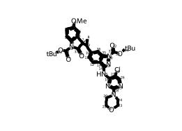 COc1ccc2c(c1)[C@]1(CC1c1ccc3c(Nc4nc(N5CCOCC5)ncc4Cl)nn(C(=O)OC(C)(C)C)c3c1)C(=O)N2C(=O)OC(C)(C)C